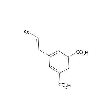 CC(=O)/C=C/c1cc(C(=O)O)cc(C(=O)O)c1